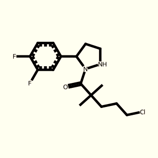 CC(C)(CCCCl)C(=O)N1NCCC1c1ccc(F)c(F)c1